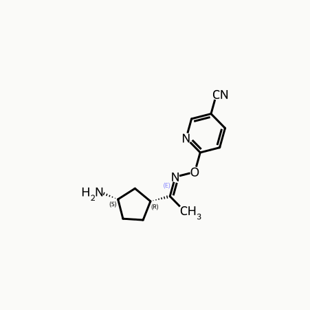 C/C(=N\Oc1ccc(C#N)cn1)[C@@H]1CC[C@H](N)C1